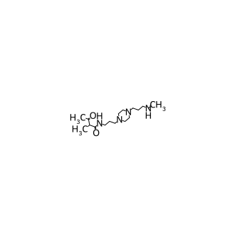 CNCCCN1CCN(CCCNC(=O)C(C)C(C)=O)CC1